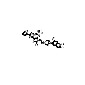 Nc1nc2c(sc(=O)n2CCN2CCN(c3cc4c(cc3F)NC(=O)C4)CC2)c2nc(-c3ccco3)nn12